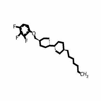 CCCCCCC[C@H]1CC[C@H]([C@H]2CC[C@H](COc3ccc(F)c(F)c3F)CC2)CC1